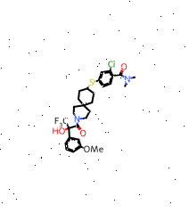 COc1cccc(C(O)(C(=O)N2CCC3(CCC(Sc4ccc(C(=O)N(C)C)c(Cl)c4)CC3)CC2)C(F)(F)F)c1